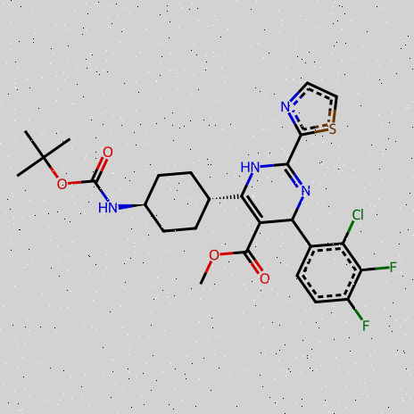 COC(=O)C1=C([C@H]2CC[C@H](NC(=O)OC(C)(C)C)CC2)NC(c2nccs2)=NC1c1ccc(F)c(F)c1Cl